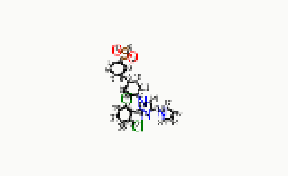 CS(=O)(=O)c1cccc(-c2ccc(-n3cc(-n4cccc4)nc3-c3c(Cl)cccc3Cl)cc2)c1